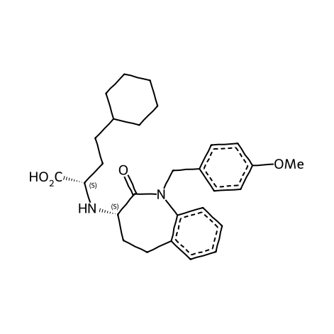 COc1ccc(CN2C(=O)[C@@H](N[C@@H](CCC3CCCCC3)C(=O)O)CCc3ccccc32)cc1